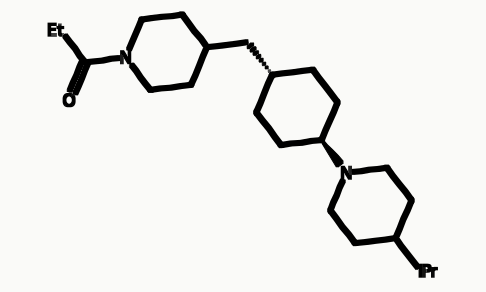 CCC(=O)N1CCC(C[C@H]2CC[C@H](N3CCC(C(C)C)CC3)CC2)CC1